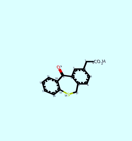 O=C(O)Cc1ccc2c(c1)C(=O)c1ccccc1SC2